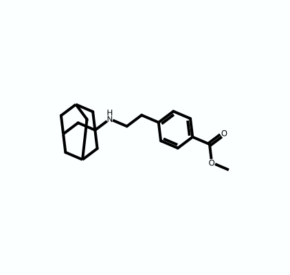 COC(=O)c1ccc(CCNC23CC4CC(CC(C4)C2)C3)cc1